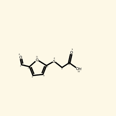 O=Cc1ccc(SCC(=O)O)o1